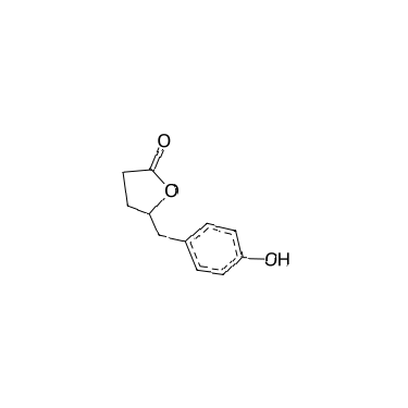 O=C1CCC(Cc2ccc(O)cc2)O1